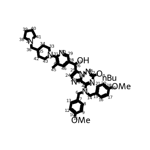 CCCCOc1nc(N(Cc2ccc(OC)cc2)Cc2ccc(OC)cc2)c2ncc(C(O)c3cnc(N4CCC(CN5CCCC5)CC4)c(C)c3)n2n1